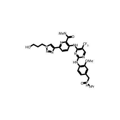 CCC[PH](=O)Cc1ccc(Nc2ncc(C(F)(F)F)c(Nc3ccc(-c4cn(CCCO)nn4)nc3C(=O)NC)n2)c(OC)c1